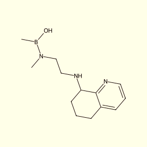 CB(O)N(C)CCNC1CCCc2cccnc21